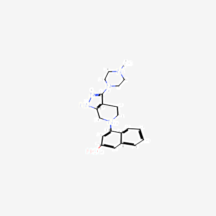 CC(=O)N1CCN(c2n[nH]c3c2CCN(c2cc(O)cc4ccccc24)C3)CC1